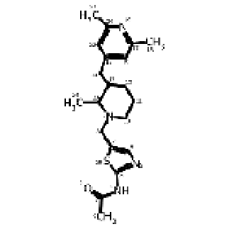 CC(=O)Nc1ncc(CN2CCCC(Cc3cc(C)nc(C)c3)C2C)s1